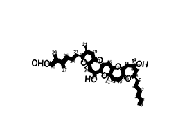 C=C/C=C/CC[C@@H]1C[C@](C)(O)CC2OC3CC4OC5C[C@H](C)[C@H](CC/C=C(C)/C(C)=C/C=O)O[C@]5(C)C[C@H](O)C4O[C@]3(C)CCC2O1